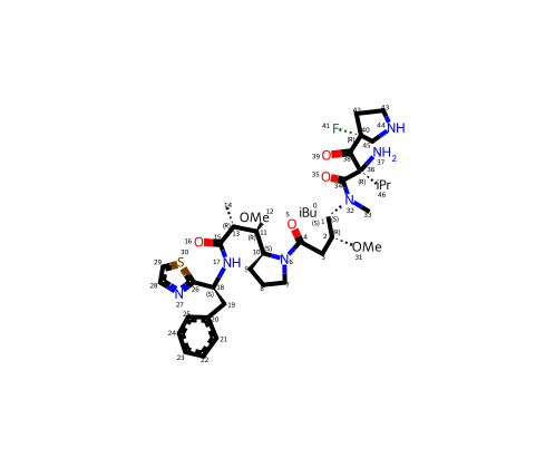 CC[C@H](C)[C@@H]([C@@H](CC(=O)N1CCC[C@H]1[C@H](OC)[C@@H](C)C(=O)N[C@@H](Cc1ccccc1)c1nccs1)OC)N(C)C(=O)[C@](N)(C(=O)[C@@]1(F)CCNC1)C(C)C